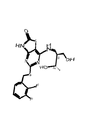 C[C@H](O)[C@H](CO)Nc1nc(SCc2cccc(F)c2F)nc2[nH]c(=O)sc12